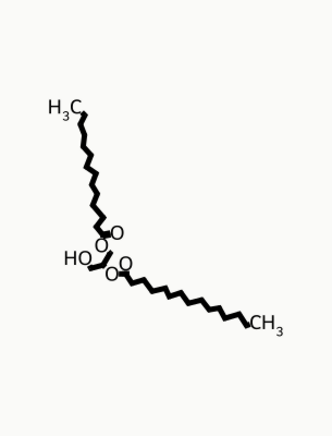 CCCCCCCCCCCCCCC(=O)OC(CO)COC(=O)CCCCCCCCCCCCC